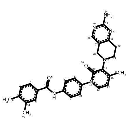 Cc1ccc(C(=O)Nc2ccc(-n3ccc(C)c(N4CCc5nc(N)ncc5C4)c3=O)cc2)cc1C